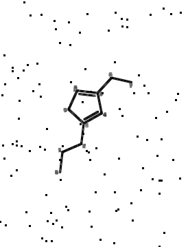 CCCC1=CC(CC)=[C]C1